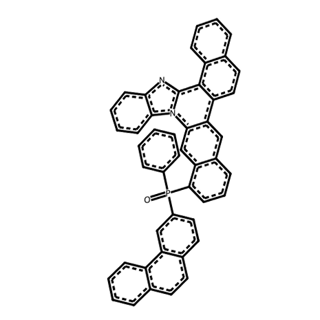 O=P(c1ccccc1)(c1ccc2ccc3ccccc3c2c1)c1cccc2cc3c4ccc5ccccc5c4c4nc5ccccc5n4c3cc12